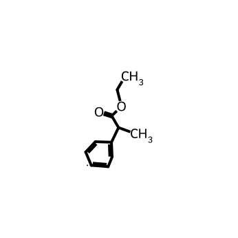 CCOC(=O)C(C)c1cc[c]cc1